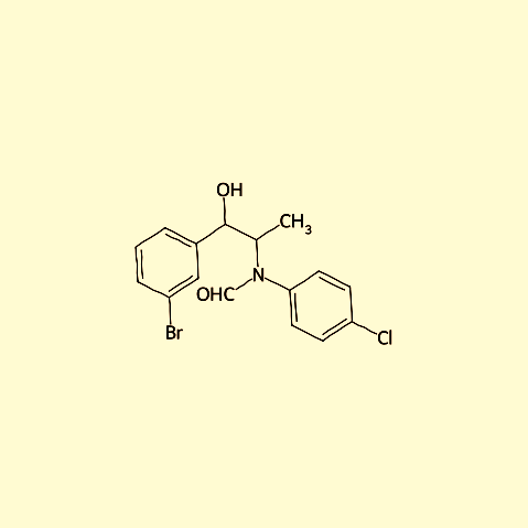 CC(C(O)c1cccc(Br)c1)N(C=O)c1ccc(Cl)cc1